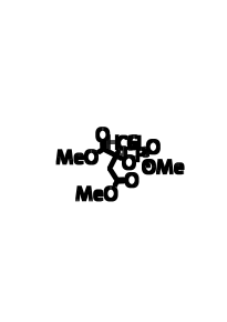 COC(=O)CC(C)(OP(C)(=O)OC)C(=O)OC